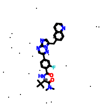 CN(C)C(=O)[C@@H](NC(=O)c1ccc(-c2cnc3ncc(Cc4ccc5ncccc5c4)n3n2)cc1F)C(C)(C)C